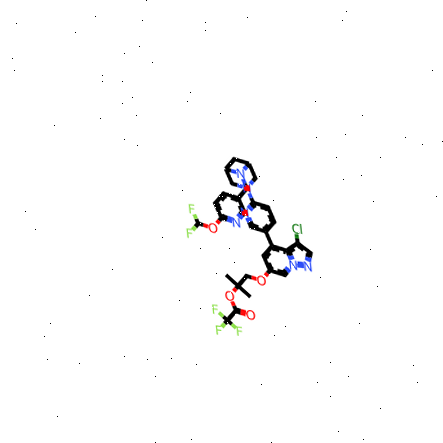 CC(C)(COc1cc(-c2ccc(N3CC4CC(C3)N4Cc3ccc(OC(F)F)nc3)nc2)c2c(Cl)cnn2c1)OC(=O)C(F)(F)F